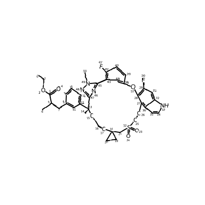 CCOC(=O)C(C)Cc1cccc([C@@]2(C)CCCC3(CC3)CS(=O)(=O)CCc3c(c(F)cc4[nH]ccc34)Oc3ccc(F)c(c3)-c3nc2nn3C)c1